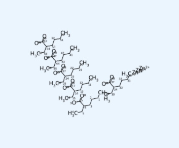 CCCCC(CC)C(=O)[O-].CCCCC(CC)C(=O)[O-].CCCCC(CC)C(=O)[O-].CCCCC(CC)C(=O)[O-].CCCCC(CC)C(=O)[O-].CCCCC(CC)C(=O)[O-].[Zn+2].[Zn+2].[Zn+2]